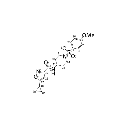 COc1ccc(S(=O)(=O)N2CCC(NC(=O)c3cc(C4CC4)on3)CC2)cc1